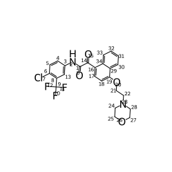 O=C(Nc1ccc(Cl)c(C(F)(F)F)c1)C(=O)c1ccc(OCCN2CCOCC2)c2ccccc12